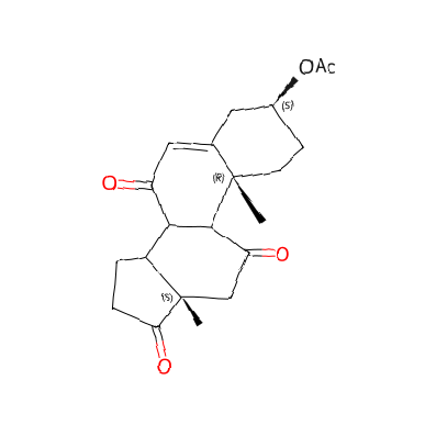 CC(=O)O[C@H]1CC[C@@]2(C)C(=CC(=O)C3C2C(=O)C[C@]2(C)C(=O)CCC32)C1